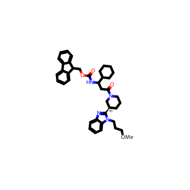 COCCCn1c([C@@H]2CCCN(C(=O)CC(NC(=O)OCC3c4ccccc4-c4ccccc43)C3CCCCC3)C2)nc2ccccc21